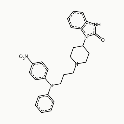 O=c1[nH]c2ccccc2n1C1CCN(CCCN(c2ccccc2)c2ccc([N+](=O)[O-])cc2)CC1